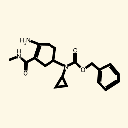 CNC(=O)C1=C(N)CCC(N(C(=O)OCc2ccccc2)C2CC2)C1